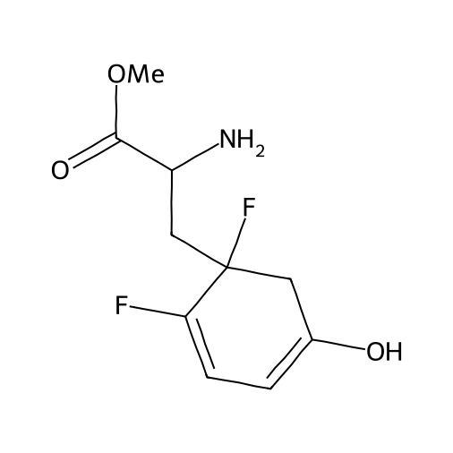 COC(=O)C(N)CC1(F)CC(O)=CC=C1F